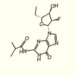 CC[C@H]1O[C@@H](n2cnc3c(=O)[nH]c(NC(=O)C(C)C)nc32)[C@H](F)[C@@H]1O